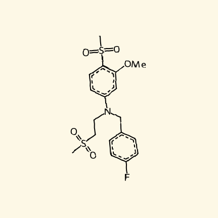 COc1cc(N(CCS(C)(=O)=O)Cc2ccc(F)cc2)ccc1S(C)(=O)=O